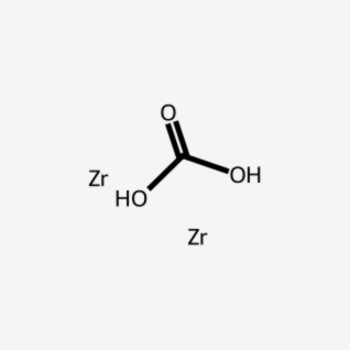 O=C(O)O.[Zr].[Zr]